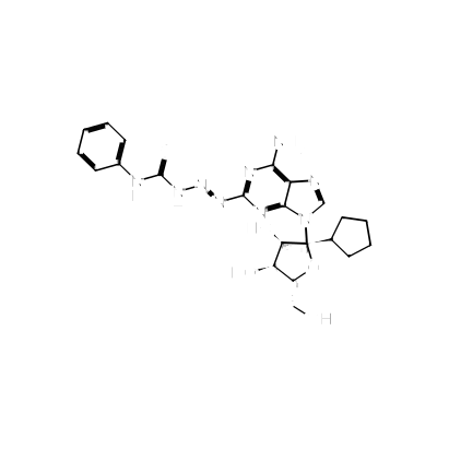 Nc1nc(N=NNC(=O)Nc2ccccc2)nc2c1ncn2[C@]1(C2CCCC2)O[C@H](CO)[C@@H](O)[C@H]1O